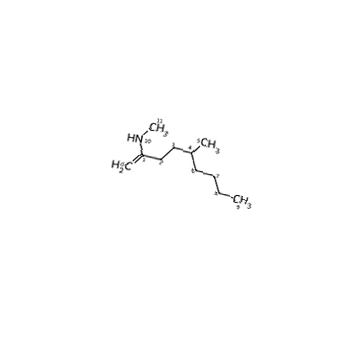 C=C(CCC(C)CCCC)NC